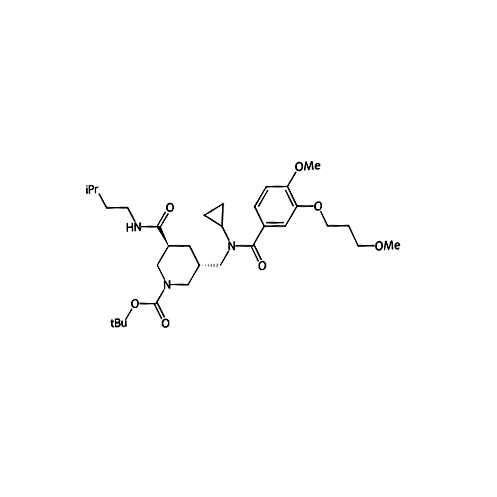 COCCCOc1cc(C(=O)N(C[C@H]2C[C@H](C(=O)NCCC(C)C)CN(C(=O)OC(C)(C)C)C2)C2CC2)ccc1OC